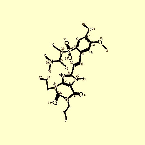 CCCn1c(=O)c2c(nc(/C=C/c3cc(OC)c(OC)cc3S(=O)(=O)N(C)C(C)N(C)C)n2C)n(CCC)c1=O